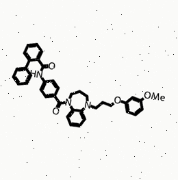 COc1cccc(OCCCN2CCCN(C(=O)c3ccc(NC(=O)c4ccccc4-c4ccccc4)cc3)c3ccccc32)c1